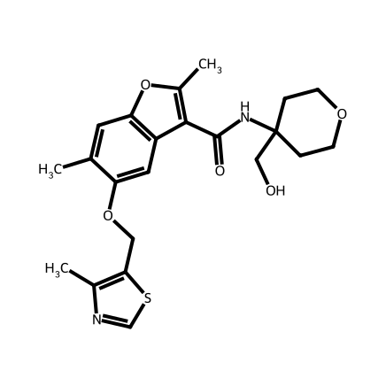 Cc1cc2oc(C)c(C(=O)NC3(CO)CCOCC3)c2cc1OCc1scnc1C